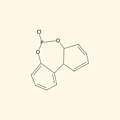 ClP1Oc2ccccc2C2C=CC=CC2O1